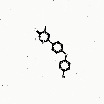 Cc1cc(-c2ccc(Oc3ccc(Br)cc3)cc2)n[nH]c1=O